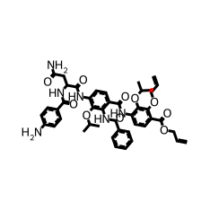 C=CCOC(=O)c1ccc(NC(=O)c2ccc(NC(=O)C(CC(N)=O)NC(=O)c3ccc(N)cc3)c(OC(C)C)c2NC(=O)c2ccccc2)c(OC(C)C)c1OCC=C